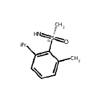 Cc1cccc(C(C)C)c1[S@@](C)(=N)=O